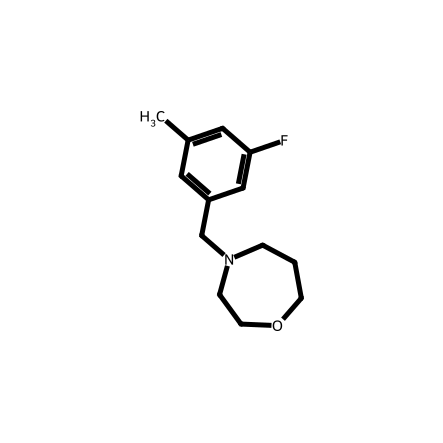 Cc1cc(F)cc(CN2CCCOCC2)c1